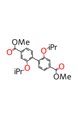 COC(=O)c1ccc(-c2ccc(C(=O)OC)cc2OC(C)C)c(OC(C)C)c1